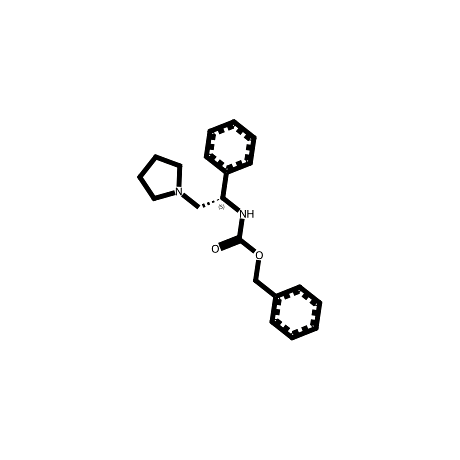 O=C(N[C@H](CN1CCCC1)c1ccccc1)OCc1ccccc1